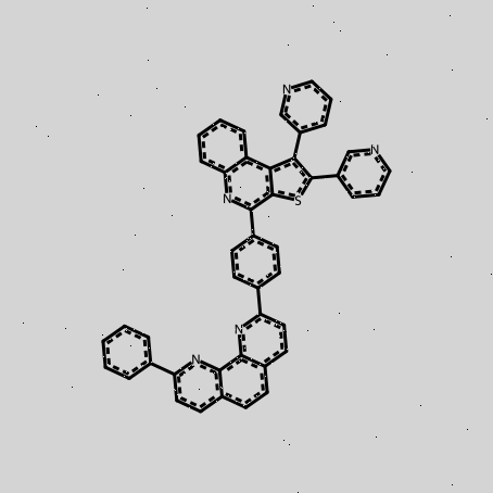 c1ccc(-c2ccc3ccc4ccc(-c5ccc(-c6nc7ccccc7c7c(-c8cccnc8)c(-c8cccnc8)sc67)cc5)nc4c3n2)cc1